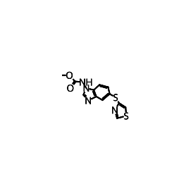 COC(=O)Nn1cnc2cc(Sc3cscn3)ccc21